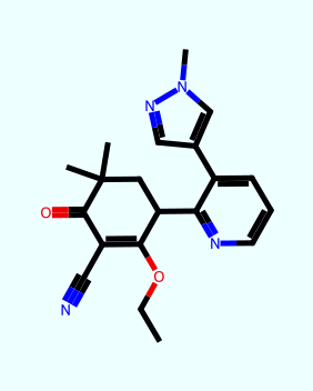 CCOC1=C(C#N)C(=O)C(C)(C)CC1c1ncccc1-c1cnn(C)c1